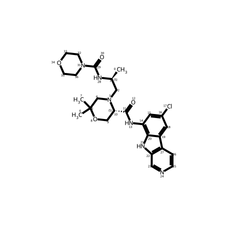 C[C@@H](CN1CC(C)(C)OC[C@H]1C(=O)Nc1cc(Cl)cc2c1[nH]c1cnccc12)NC(=O)N1CCOCC1